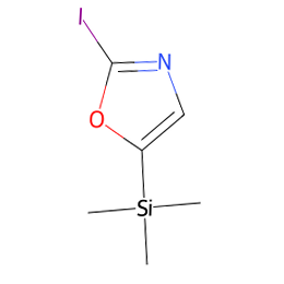 C[Si](C)(C)c1cnc(I)o1